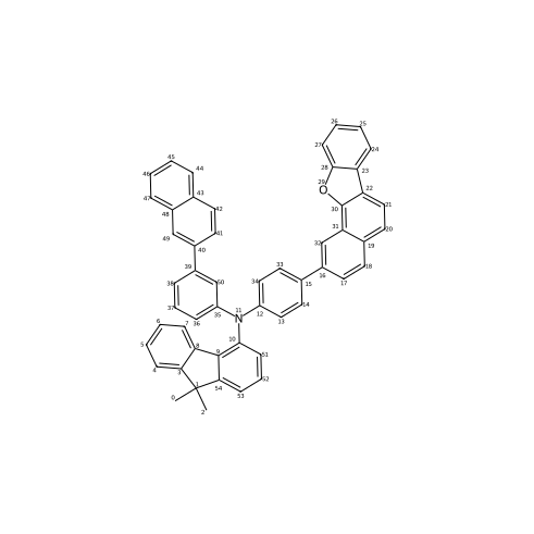 CC1(C)c2ccccc2-c2c(N(c3ccc(-c4ccc5ccc6c7ccccc7oc6c5c4)cc3)c3cccc(-c4ccc5ccccc5c4)c3)cccc21